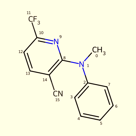 CN(c1ccccc1)c1nc(C(F)(F)F)ccc1C#N